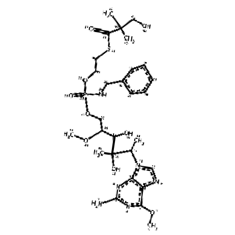 COc1nc(N)nc2c1ncn2C(C)C(C)(O)C(O)C(COP(=O)(NCc1ccccc1)OCCSC(=O)C(C)(C)CO)OC